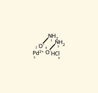 Cl.N[O-].N[O-].[Pd+2]